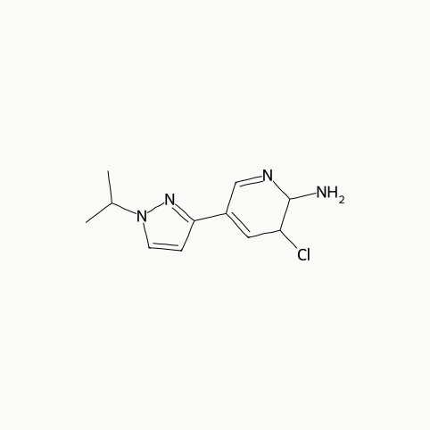 CC(C)n1ccc(C2=CC(Cl)C(N)N=C2)n1